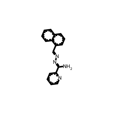 N/C(=N\N=C\c1cccc2ccccc12)c1ccccn1